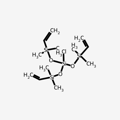 C=C[Si](C)(C)O[Si](Cl)(O[Si](C)(C)C=C)O[Si](C)(C)C=C